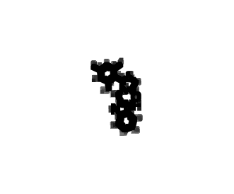 Cc1cc(C)c(C2SCC(=O)N2Cc2nc3ccccc3[nH]2)c(C)c1